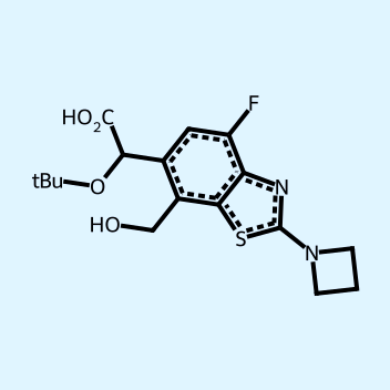 CC(C)(C)OC(C(=O)O)c1cc(F)c2nc(N3CCC3)sc2c1CO